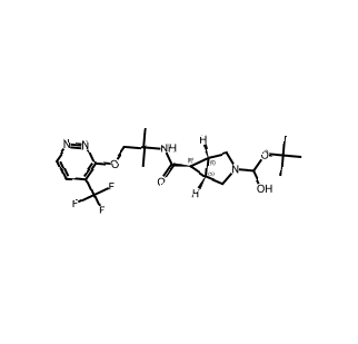 CC(C)(COc1nnccc1C(F)(F)F)NC(=O)[C@H]1[C@@H]2CN(C(O)OC(C)(C)C)C[C@@H]21